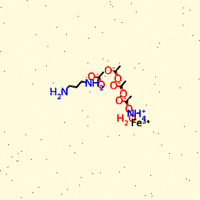 CC(=O)[O-].CC(=O)[O-].CC(=O)[O-].CC(=O)[O-].NCCCN.O.[Fe+3].[NH4+]